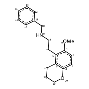 COc1ccc2c(c1CCNCc1ccccc1)C[CH]CO2